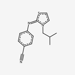 CC(C)Cn1ccsc1=Nc1ccc(C#N)cc1